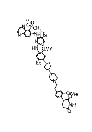 CCc1cc(Nc2ncc(Br)c(Nc3ccc4nccnc4c3P(C)(C)=O)n2)c(OC)cc1N1CCC(N2CCN(CCc3ccc(C4CCC(=O)NC4=O)c(OC)c3)CC2)CC1